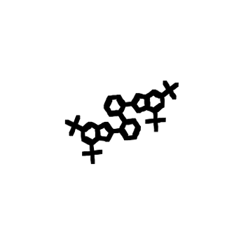 CC(C)(C)c1cc2c(c(C(C)(C)C)c1)CC(c1ccccc1-c1ccccc1C1=Cc3cc(C(C)(C)C)cc(C(C)(C)C)c3C1)=C2